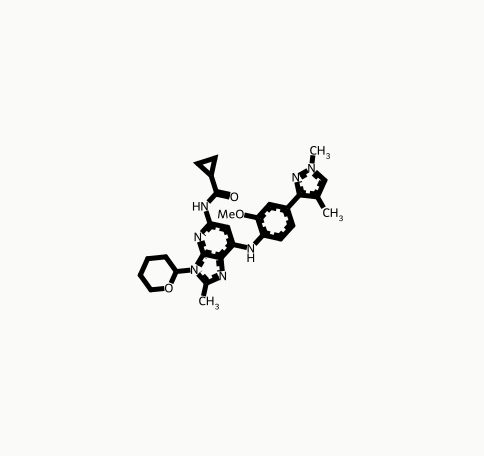 COc1cc(-c2nn(C)cc2C)ccc1Nc1cc(NC(=O)C2CC2)nc2c1nc(C)n2C1CCCCO1